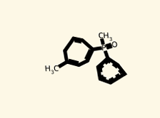 CC1=CC=C(P(C)(=O)c2ccccc2)C=CC1